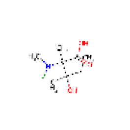 CCC(C)(O)C(C)(C(=O)O)N(C)F